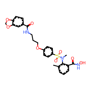 Cc1cccc(C(=O)NO)c1N(C)S(=O)(=O)c1ccc(OCCCNC(=O)c2ccc3c(c2)OCO3)cc1